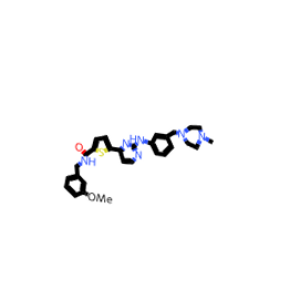 COc1cccc(CNC(=O)c2ccc(-c3ccnc(Nc4cccc(CN5CCN(C)CC5)c4)n3)s2)c1